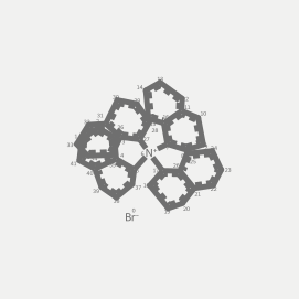 [Br-].c1ccc2c([N+](c3cccc4ccccc34)(c3cccc4ccccc34)c3cccc4ccccc34)cccc2c1